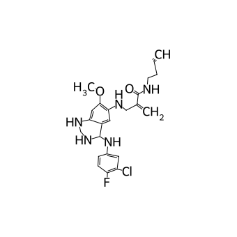 C#CCCNC(=O)C(=C)CNc1cc2c(cc1OC)NCNC2Nc1ccc(F)c(Cl)c1